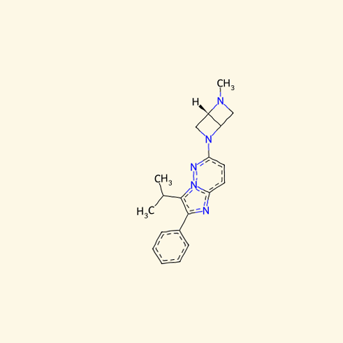 CC(C)c1c(-c2ccccc2)nc2ccc(N3C[C@H]4C3CN4C)nn12